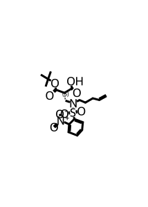 C=CCCCN(C[C@@H](C(=O)O)C(=O)OC(C)(C)C)S(=O)(=O)c1ccccc1[N+](=O)[O-]